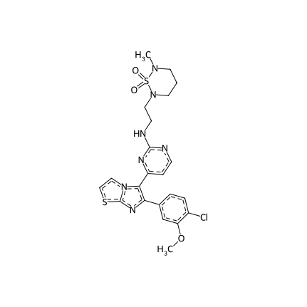 COc1cc(-c2nc3sccn3c2-c2ccnc(NCCN3CCCN(C)S3(=O)=O)n2)ccc1Cl